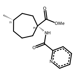 COC(=O)[C@@]1(NC(=O)c2ccccn2)CCC[C@H](C)CC1